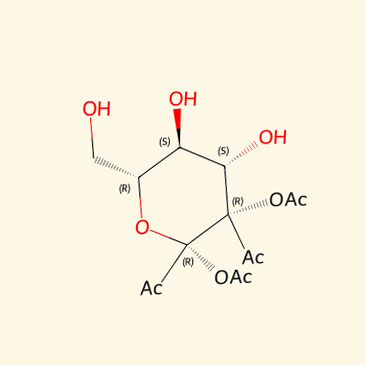 CC(=O)O[C@]1(C(C)=O)O[C@H](CO)[C@@H](O)[C@H](O)[C@@]1(OC(C)=O)C(C)=O